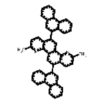 Cc1ccc2c(-c3cc4ccccc4c4ccccc34)cc3c(cc(-c4cc5ccccc5c5ccccc45)c4ccc(C)nc43)c2n1